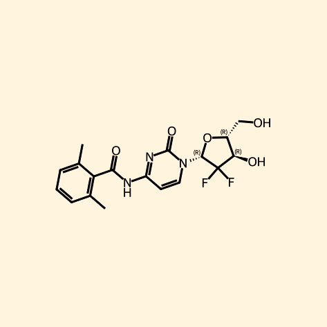 Cc1cccc(C)c1C(=O)Nc1ccn([C@@H]2O[C@H](CO)[C@@H](O)C2(F)F)c(=O)n1